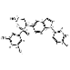 Cc1ccc(-n2ccc3cc(N(CC(=O)O)S(=O)(=O)c4cc(Cl)nc(Cl)c4)ccc32)nn1